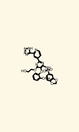 COc1ccccc1Oc1c(NS(=O)(=O)c2ccc3c(c2)OCO3)nc(-c2ccnc(-c3nnn[nH]3)c2)nc1OCCO